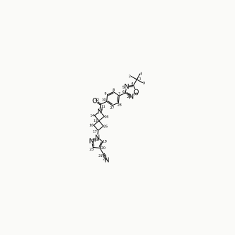 CC(C)(C)c1nc(-c2ccc(C(=O)N3CC4(CC(n5cc(C#N)cn5)C4)C3)cc2)no1